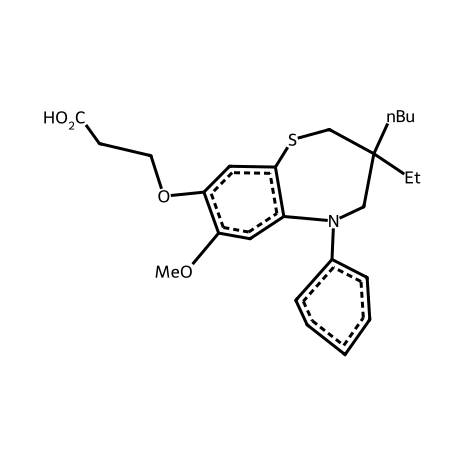 CCCCC1(CC)CSc2cc(OCCC(=O)O)c(OC)cc2N(c2ccccc2)C1